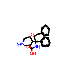 O=C(O)NC(C(=O)c1ccccc1)(c1ccccc1)C1CCNCC1